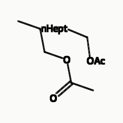 CCCCCCCCOC(C)=O.CCCOC(C)=O